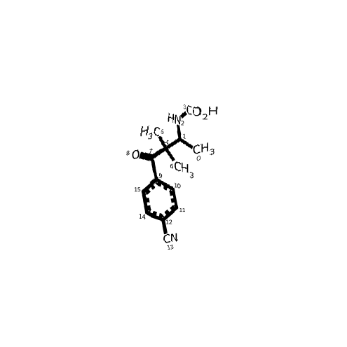 CC(NC(=O)O)C(C)(C)C(=O)c1ccc(C#N)cc1